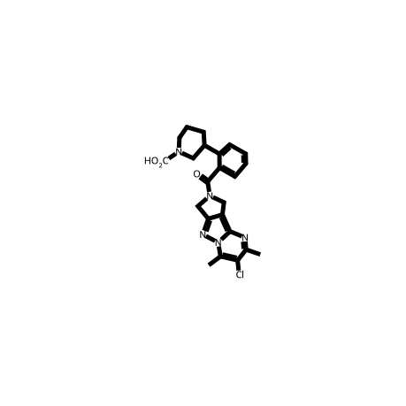 Cc1nc2c3c(nn2c(C)c1Cl)CN(C(=O)c1ccccc1C1CCCN(C(=O)O)C1)C3